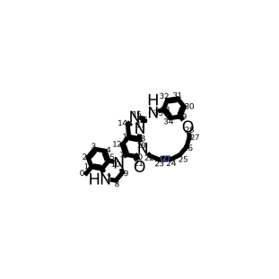 Cc1cccc2c1NCCN2c1cc2cnc3nc2n(c1=O)C/C=C\CCCOc1cccc(c1)N3